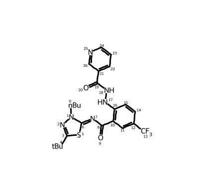 CCCCn1nc(C(C)(C)C)sc1=NC(=O)c1cc(C(F)(F)F)ccc1NNC(=O)c1cccnc1